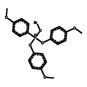 COc1ccc(O[PH](OBr)(Oc2ccc(OC)cc2)c2ccc(OC)cc2)cc1